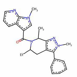 CCC1Cc2c(nn(C)c2-c2ccccc2)C(C)N1C(=O)c1cn(C)c2ncccc12